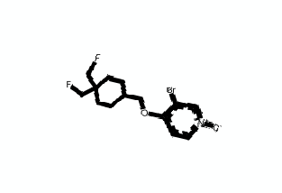 [O-][n+]1ccc(OCC2CCC(CF)(CF)CC2)c(Br)c1